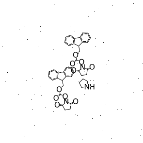 C1CCNC1.O=C(OCC1c2ccccc2-c2ccccc21)ON1C(=O)CCC1=O.O=C(OCC1c2ccccc2-c2ccccc21)ON1C(=O)CCC1=O